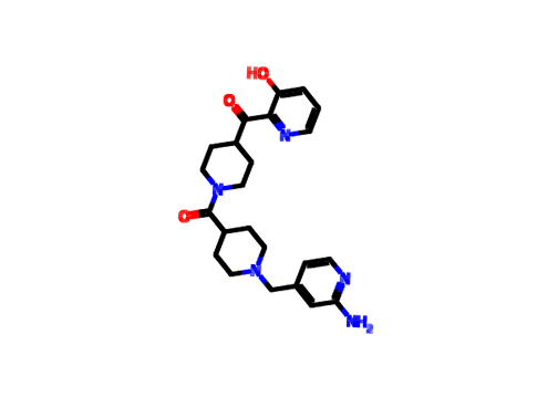 Nc1cc(CN2CCC(C(=O)N3CCC(C(=O)c4ncccc4O)CC3)CC2)ccn1